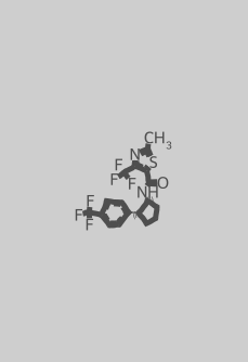 Cc1nc(C(F)(F)F)c(C(=O)N[C@@H]2CCC[C@@H]2c2ccc(C(F)(F)F)cc2)s1